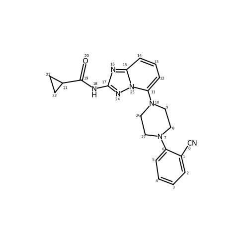 N#Cc1ccccc1N1CCN(c2cccc3nc(NC(=O)C4CC4)nn23)CC1